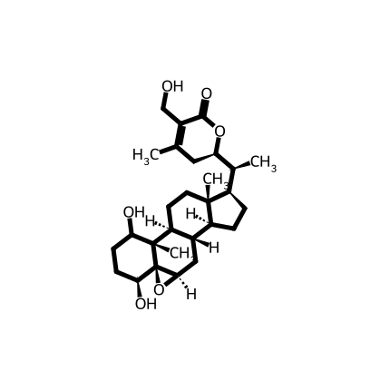 CC1=C(CO)C(=O)O[C@@H]([C@@H](C)[C@H]2CC[C@H]3[C@@H]4C[C@H]5O[C@]56[C@@H](O)CCC(O)[C@]6(C)[C@H]4CC[C@]23C)C1